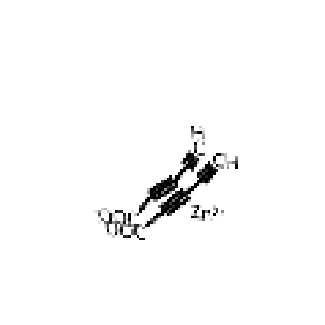 C#CC#CC(=O)[O-].C#CC#CC(=O)[O-].[Zn+2]